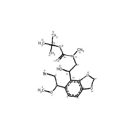 COC(CBr)c1ccc2c(c1C(O)CN(C)C(=O)OC(C)(C)C)OCO2